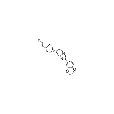 FCCC1CCN(C2=Cc3nc(-c4ccc5c(c4)OCCO5)cn3CC2)CC1